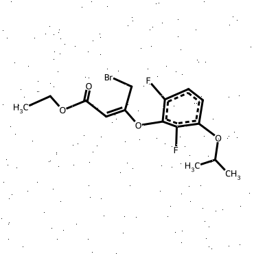 CCOC(=O)C=C(CBr)Oc1c(F)ccc(OC(C)C)c1F